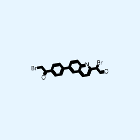 O=CC(Br)c1ccc2cc(-c3ccc(C(=O)CBr)cc3)ccc2n1